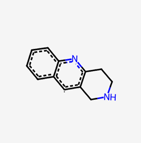 [c]1c2c(nc3ccccc13)CCNC2